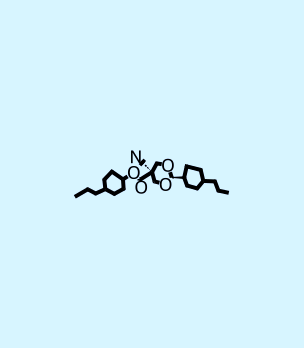 CCCC1CCC(OC(=O)[C@]2(C#N)CO[C@H](C3CCC(CCC)CC3)OC2)CC1